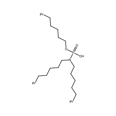 CC(C)CCCCCOP(=O)(O)N(CCCCCC(C)C)CCCCCC(C)C